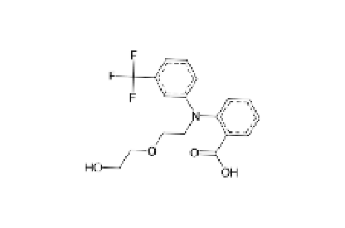 O=C(O)c1ccccc1N(CCOCCO)c1cccc(C(F)(F)F)c1